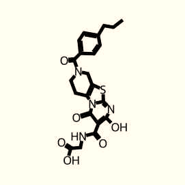 CCCc1ccc(C(=O)N2CCc3c(sc4nc(O)c(C(=O)NCC(=O)O)c(=O)n34)C2)cc1